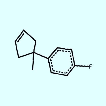 CC1(c2ccc(F)cc2)CC=CC1